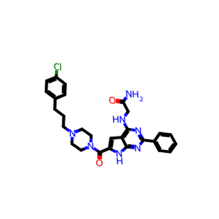 NC(=O)CNc1nc(-c2ccccc2)nc2[nH]c(C(=O)N3CCN(CCCc4ccc(Cl)cc4)CC3)cc12